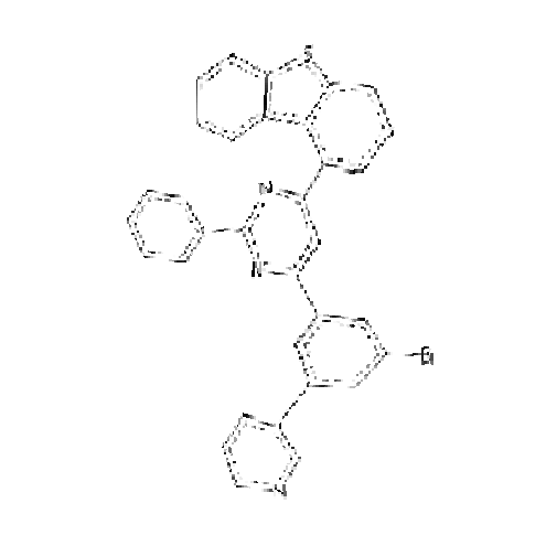 Brc1cc(-c2cccnc2)cc(-c2cc(-c3cccc4sc5ccccc5c34)nc(-c3ccccc3)n2)c1